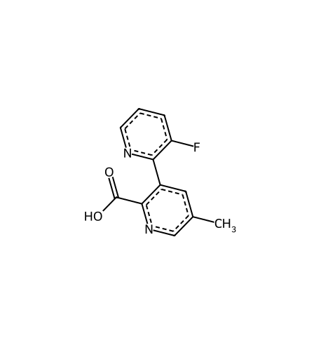 Cc1cnc(C(=O)O)c(-c2ncccc2F)c1